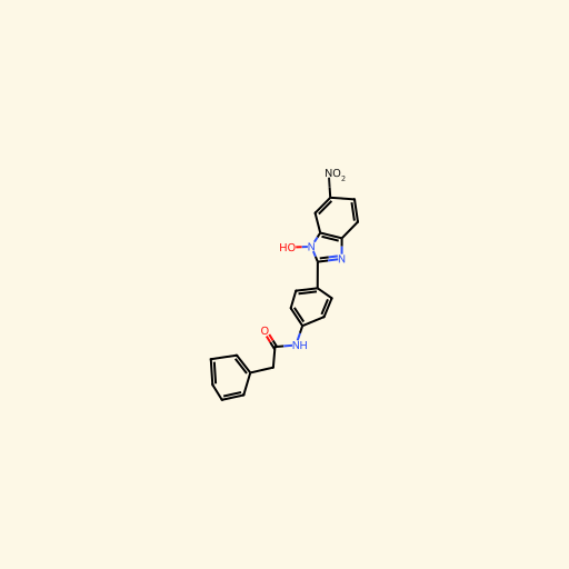 O=C(Cc1ccccc1)Nc1ccc(-c2nc3ccc([N+](=O)[O-])cc3n2O)cc1